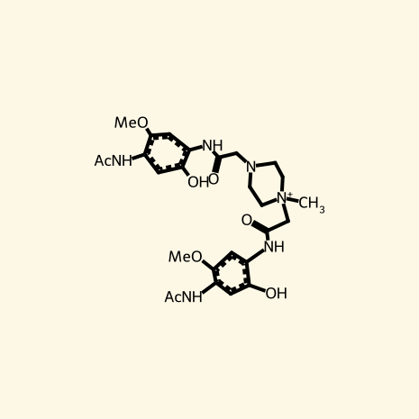 COc1cc(NC(=O)CN2CC[N+](C)(CC(=O)Nc3cc(OC)c(NC(C)=O)cc3O)CC2)c(O)cc1NC(C)=O